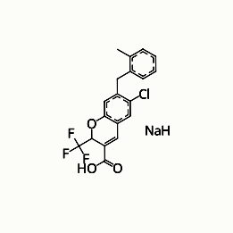 Cc1ccccc1Cc1cc2c(cc1Cl)C=C(C(=O)O)C(C(F)(F)F)O2.[NaH]